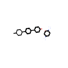 CC1CCC(c2ccc(-c3ccc(Oc4cc(N)ccc4N)cc3)cc2)CC1